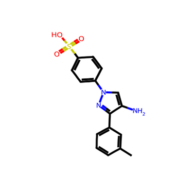 Cc1cccc(-c2nn(-c3ccc(S(=O)(=O)O)cc3)cc2N)c1